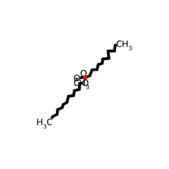 CCCCCCCCCCCCOCCCCCCCCCCCC.COC=O